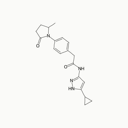 CC1CCC(=O)N1c1ccc(CC(=O)Nc2cc(C3CC3)[nH]n2)cc1